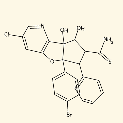 NC(=S)C1C(O)C2(O)c3ncc(Cl)cc3OC2(c2ccc(Br)cc2)C1c1ccccc1